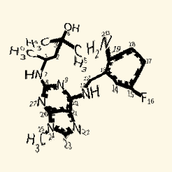 CC(CC(C)(C)O)Nc1nc(NCc2cc(F)ccc2N)c2ncn(C)c2n1